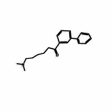 CN(C)CCCCCC(=O)c1cccc(-c2ccccc2)c1